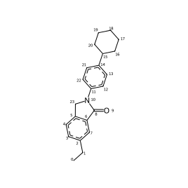 CCc1ccc2c(c1)C(=O)N(c1ccc(C3CCCCC3)cc1)C2